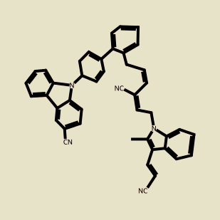 Cc1c(/C=C/C#N)c2ccccc2n1C/C=C(C#N)\C=C/Cc1ccccc1C1=CCC(n2c3ccccc3c3cc(C#N)ccc32)C=C1